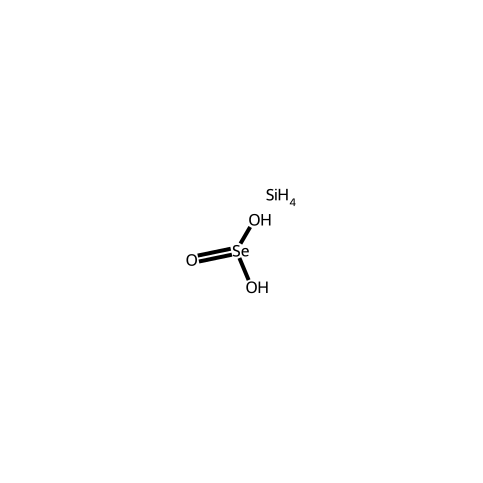 O=[Se](O)O.[SiH4]